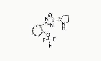 FC(F)(F)Oc1ccccc1-c1noc([C@@H]2CCCN2)n1